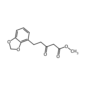 COC(=O)CC(=O)CCc1cccc2c1OCO2